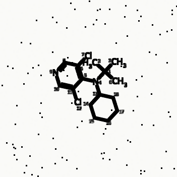 CC(C)(C)N(c1c(Cl)cncc1Cl)C1CCCCC1